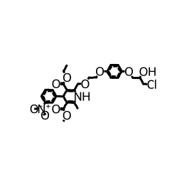 CCOC(=O)C1=C(COCCOc2ccc(OCC(O)CCl)cc2)NC(C)=C(C(=O)OC)C1c1cccc([N+](=O)[O-])c1